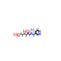 OCCCCC(O)CNCc1cccnc1